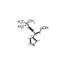 C[Si](C)(C)C#CC(=CCO)c1ccsc1